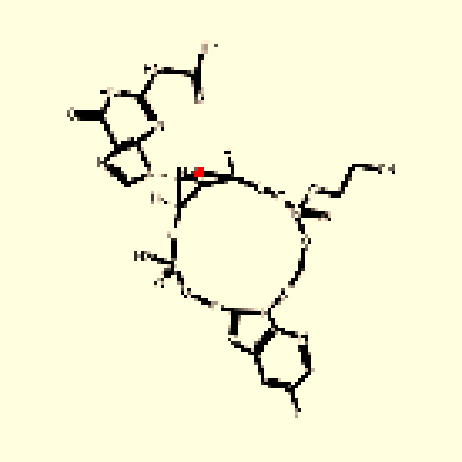 CC(C)C(=O)Nc1nc2c(ncn2[C@@H]2O[C@@H]3COP(=S)(OCCC#N)OCCn4c(nc5cc(Cl)cnc54)COP(=O)(S)O[C@@H]2[C@@H]3F)c(=O)[nH]1